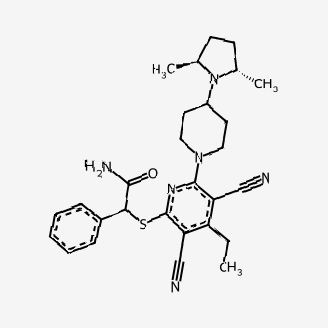 CCc1c(C#N)c(SC(C(N)=O)c2ccccc2)nc(N2CCC(N3[C@@H](C)CC[C@@H]3C)CC2)c1C#N